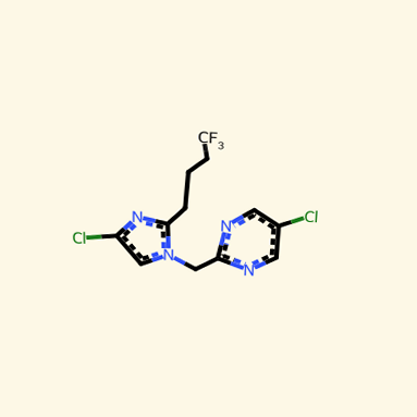 FC(F)(F)CCCc1nc(Cl)cn1Cc1ncc(Cl)cn1